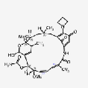 CO[C@H]1/C=C\C=C(/C)C(=O)NC2=CC(=O)C(N3CCC3)=C(C[C@@H](C)C[C@H](OC)[C@H]3OC(O)C(=CC3C)[C@@H]1OC(N)=O)C2=O